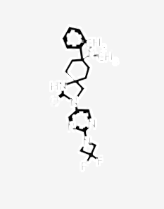 CN(C)[C@]1(c2ccccc2)CC[C@@]2(CC1)CN(c1cnc(N3CC(F)(F)C3)nc1)C(=O)N2